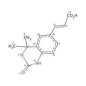 CC1(C)OC(=O)Nc2ccc(/C=C/C(=O)O)cc21